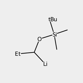 [Li][CH](CC)O[Si](C)(C)C(C)(C)C